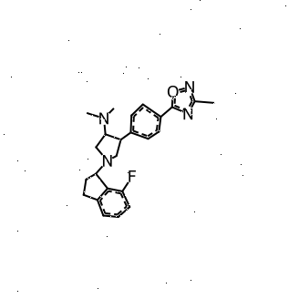 Cc1noc(-c2ccc(C3CN(C4CCc5cccc(F)c54)CC3N(C)C)cc2)n1